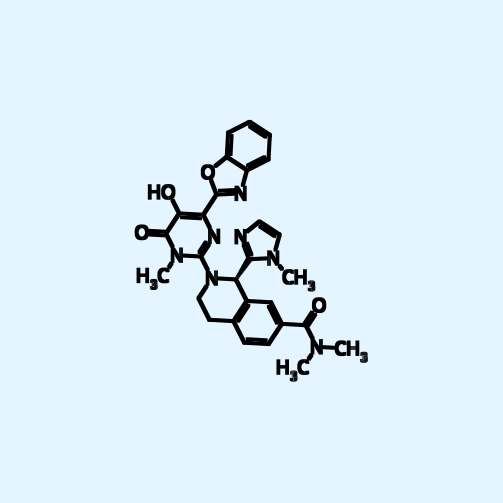 CN(C)C(=O)c1ccc2c(c1)[C@H](c1nccn1C)N(c1nc(-c3nc4ccccc4o3)c(O)c(=O)n1C)CC2